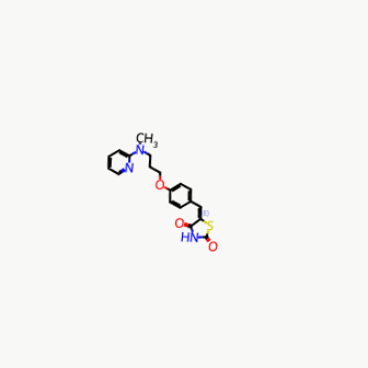 CN(CCCOc1ccc(/C=C2/SC(=O)NC2=O)cc1)c1ccccn1